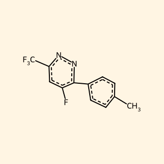 Cc1ccc(-c2nnc(C(F)(F)F)cc2F)cc1